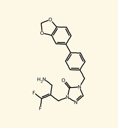 NCC(Cn1ncn(Cc2ccc(-c3ccc4c(c3)OCO4)cc2)c1=O)=C(F)F